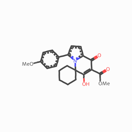 COC(=O)C1=C(O)C2(CCCCC2)n2c(ccc2-c2ccc(OC)cc2)C1=O